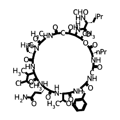 CCC[C@@H]1NC(=O)CNC(=O)[C@H](Cc2ccccc2)NC(=O)[C@H]([C@H](C)O)NC(=O)[C@H](CCC(N)=O)NC(=O)C(C(C)C(C)Cl)NC(=O)[C@H](CC(C)C)N(C)C(=O)[C@H](C)NC(=O)CC(O)C(NC(=O)[C@@H](CC(C)C)NC=O)C(C)OC1=O